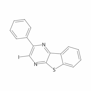 Ic1nc2sc3ccccc3c2nc1-c1ccccc1